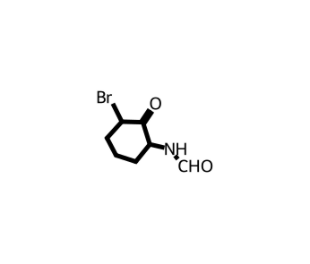 O=CNC1CCCC(Br)C1=O